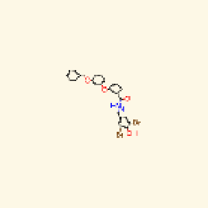 O=C(NN=Cc1cc(Br)c(O)c(Br)c1)c1cccc(Oc2cccc(OCc3ccccc3)c2)c1